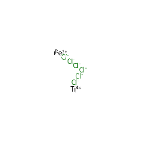 [Cl-].[Cl-].[Cl-].[Cl-].[Cl-].[Cl-].[Fe+2].[Ti+4]